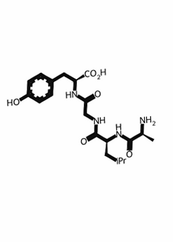 CC(C)C[C@H](NC(=O)[C@H](C)N)C(=O)NCC(=O)N[C@@H](Cc1ccc(O)cc1)C(=O)O